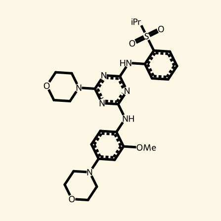 COc1cc(N2CCOCC2)ccc1Nc1nc(Nc2ccccc2S(=O)(=O)C(C)C)nc(N2CCOCC2)n1